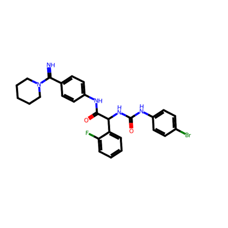 N=C(c1ccc(NC(=O)C(NC(=O)Nc2ccc(Br)cc2)c2ccccc2F)cc1)N1CCCCC1